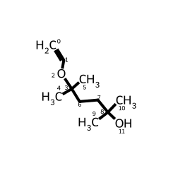 C=COC(C)(C)CCC(C)(C)O